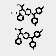 CC(O)C(Sc1ccccn1)N1CCN(C(c2ccc(F)cc2)c2ccc(F)cc2)CC1.CC(O)C(Sc1ccccn1)N1CCN(C(c2ccc(F)cc2)c2ccc(F)cc2)CC1.O